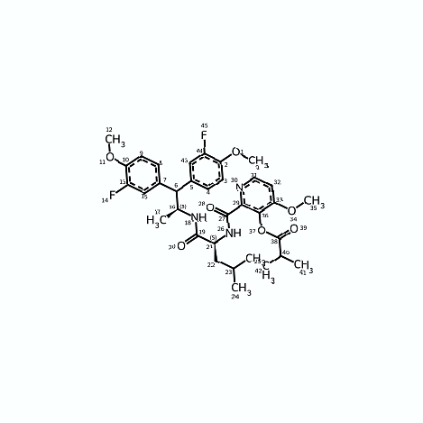 COc1ccc(C(c2ccc(OC)c(F)c2)[C@H](C)NC(=O)[C@H](CC(C)C)NC(=O)c2nccc(OC)c2OC(=O)C(C)C)cc1F